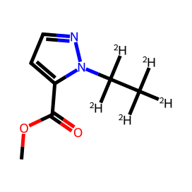 [2H]C([2H])([2H])C([2H])([2H])n1nccc1C(=O)OC